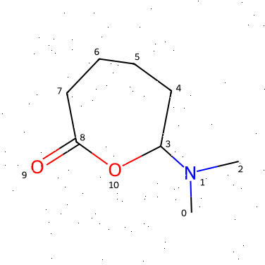 CN(C)C1CCCCC(=O)O1